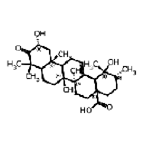 C[C@@H]1CC[C@]2(C(=O)O)CC[C@]3(C)C(=CCC4[C@@]5(C)C[C@@H](O)C(=O)C(C)(C)C5CC[C@]43C)C2[C@]1(C)O